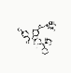 Cc1c(CC(=O)N(c2nccs2)C2CCCCC2)c2cc(OCCN(C)C)ccc2n1C(=O)c1ccc(Cl)cc1